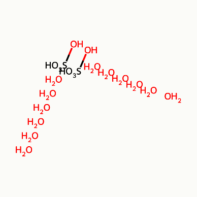 O.O.O.O.O.O.O.O.O.O.O.O.O=S(=O)(O)O.O=S(=O)(O)O